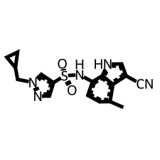 Cc1ccc(NS(=O)(=O)c2cnn(CC3CC3)c2)c2[nH]cc(C#N)c12